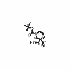 CC(C)(C)OC(=O)N1CCOC(CO)(CO)C1